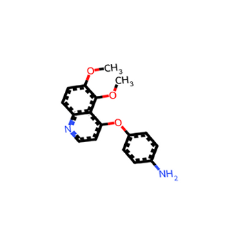 COc1ccc2nccc(Oc3ccc(N)cc3)c2c1OC